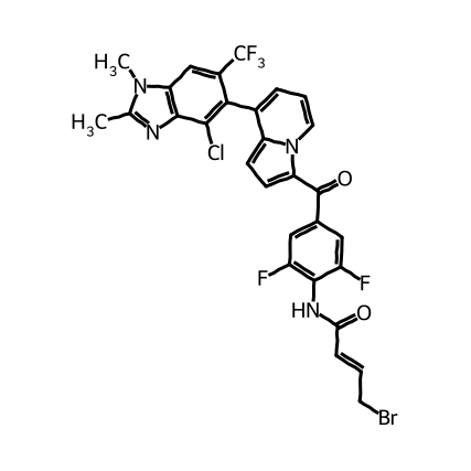 Cc1nc2c(Cl)c(-c3cccn4c(C(=O)c5cc(F)c(NC(=O)/C=C/CBr)c(F)c5)ccc34)c(C(F)(F)F)cc2n1C